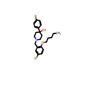 CCCCCOc1ccc(Br)cc1CN1CCC(O)(c2ccc(Br)cc2)CC1